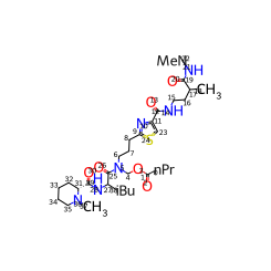 CCCC(=O)OCN(CCCc1nc(C(=O)NCCC(C)C(=O)NNC)cs1)C(=O)C(NC(=O)[C@H]1CCCCN1C)C(C)CC